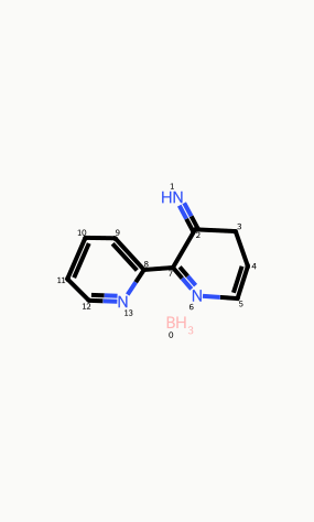 B.N=C1CC=CN=C1c1ccccn1